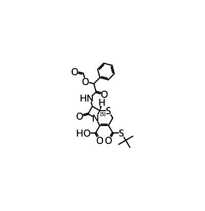 CC(C)(C)SC(=O)C1=C(C(=O)O)N2C(=O)C(NC(=O)C(OC=O)c3ccccc3)[C@@H]2SC1